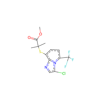 COC(=O)C(C)(C)Sc1ccc(C(F)(F)F)n2c(Cl)cnc12